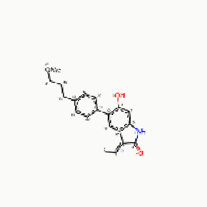 C/C=C1/C(=O)Nc2cc(O)c(-c3ccc(CCCOC)cc3)cc21